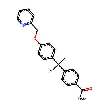 COC(=O)c1ccc(C(C)(c2ccc(OCc3ccccn3)cc2)C(C)C)cc1